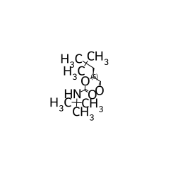 CC(C)(C)C[C@@H](C=O)OC(=O)NC(C)(C)C